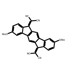 COc1ccc2c(c1)-c1cc3c(cc1C2=C(C#N)C#N)-c1cc(OC)ccc1C3=C(C#N)C#N